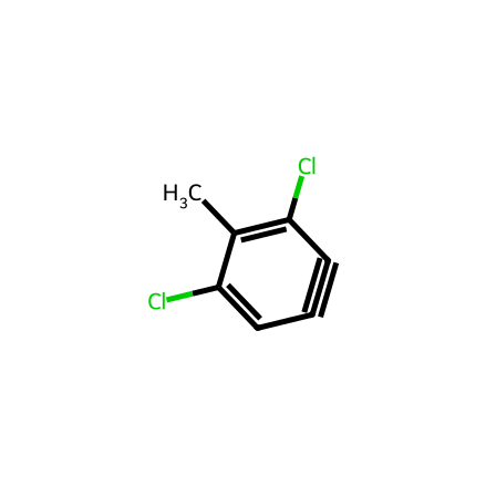 Cc1c(Cl)c#ccc1Cl